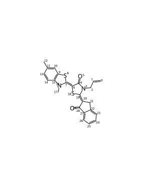 C=CCn1c(=O)/c(=C2\Sc3cc(C)ccc3N2C)s/c1=C1/Cc2ccccc2C1=O